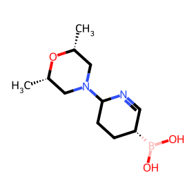 C[C@@H]1CN(C2CC[C@@H](B(O)O)C=N2)C[C@H](C)O1